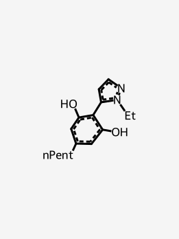 CCCCCc1cc(O)c(-c2ccnn2CC)c(O)c1